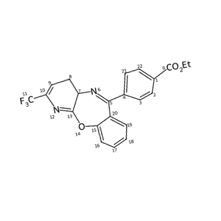 CCOC(=O)c1ccc(C2=NC3CC=C(C(F)(F)F)N=C3Oc3ccccc32)cc1